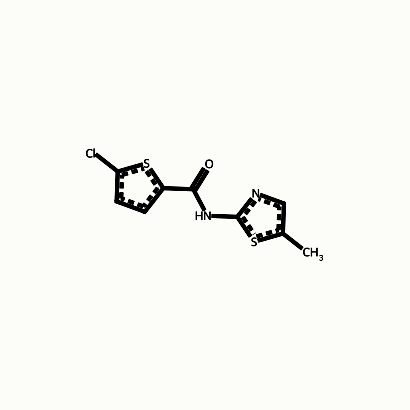 Cc1cnc(NC(=O)c2ccc(Cl)s2)s1